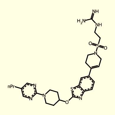 CCCc1cnc(N2CCC(Oc3nc4ccc(C5=CCN(S(=O)(=O)CCNC(=N)N)CC5)cc4s3)CC2)nc1